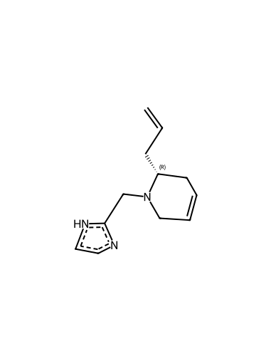 C=CC[C@@H]1CC=CCN1Cc1ncc[nH]1